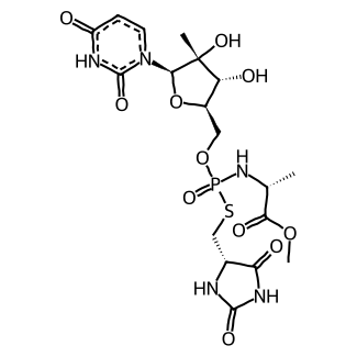 COC(=O)[C@@H](C)NP(=O)(OC[C@H]1O[C@@H](n2ccc(=O)[nH]c2=O)[C@](C)(O)[C@@H]1O)SC[C@H]1NC(=O)NC1=O